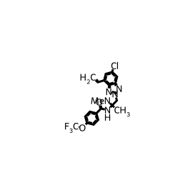 C=Cc1cc(Cl)cc2nn(CC(C)(NC)NC(=O)c3ccc(OC(F)(F)F)cc3)nc12